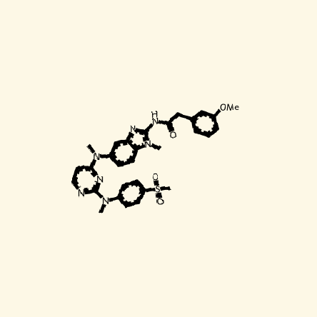 COc1cccc(CC(=O)Nc2nc3cc(N(C)c4ccnc(N(C)c5ccc(S(C)(=O)=O)cc5)n4)ccc3n2C)c1